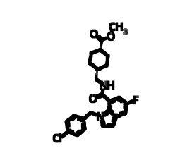 COC(=O)[C@H]1CC[C@H](CNC(=O)c2cc(F)cc3ccn(Cc4ccc(Cl)cc4)c23)CC1